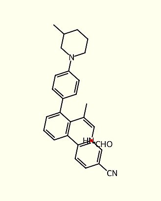 C/C(=C/NC=O)c1c(-c2ccc(C#N)cc2)cccc1-c1ccc(N2CCCC(C)C2)cc1